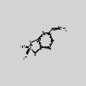 C=Cc1ccc2c(c1)CS(=O)(=O)C2